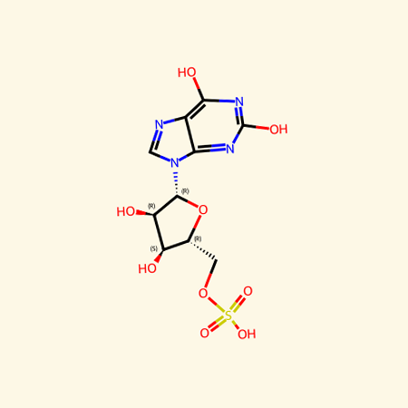 O=S(=O)(O)OC[C@H]1O[C@@H](n2cnc3c(O)nc(O)nc32)[C@H](O)[C@@H]1O